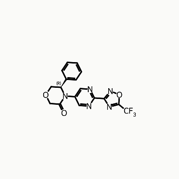 O=C1COC[C@@H](c2ccccc2)N1c1cnc(-c2noc(C(F)(F)F)n2)nc1